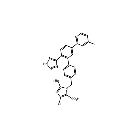 CCCCc1nc(Cl)c(C(=O)O)n1Cc1ccc(-c2cc(-c3cc(C)ccn3)ccc2-c2nn[nH]n2)cc1